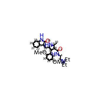 CCN(CC)CCNC(=O)c1c(C)[nH]c(/C=C2\C(=O)Nc3ccccc32)c1-c1cc(OC)ccc1OC